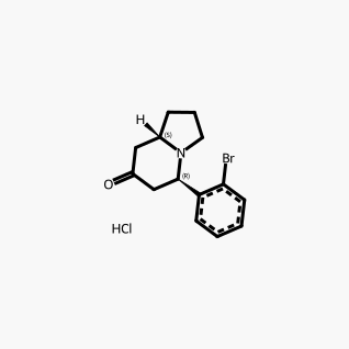 Cl.O=C1C[C@@H]2CCCN2[C@@H](c2ccccc2Br)C1